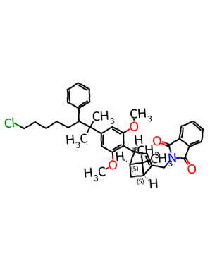 COc1cc(C(C)(C)C(CCCCCCl)c2ccccc2)cc(OC)c1[C@H]1C=C(CN2C(=O)c3ccccc3C2=O)[C@H]2C[C@@H]1C2(C)C